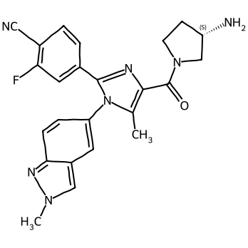 Cc1c(C(=O)N2CC[C@H](N)C2)nc(-c2ccc(C#N)c(F)c2)n1-c1ccc2nn(C)cc2c1